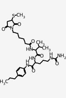 CCCc1ccc(NC(=O)C(CCCNC(N)=O)NC(=O)C(NC(=O)CCCCCN2C(=O)CC(SC)C2=O)C(C)C)cc1